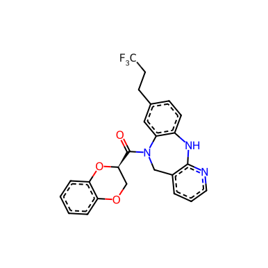 O=C([C@H]1COc2ccccc2O1)N1Cc2cccnc2Nc2ccc(CCC(F)(F)F)cc21